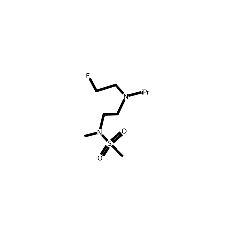 CC(C)N(CCF)CCN(C)S(C)(=O)=O